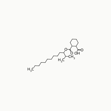 CCCCCCCCCCC(OC(=O)C1CCCCC1C(=O)O)C(C)C